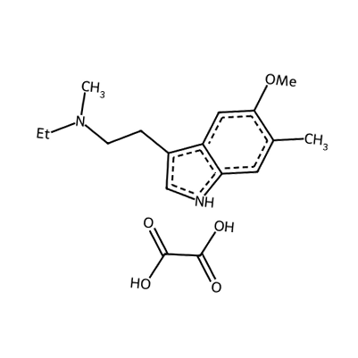 CCN(C)CCc1c[nH]c2cc(C)c(OC)cc12.O=C(O)C(=O)O